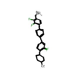 BCc1ccc(-c2ccc(-c3ccc(C4CCC(CC)CC4)c(F)c3)cc2)c(F)c1F